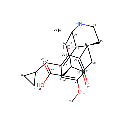 COc1cc(CC2CC2)c2c(c1)[C@]13CCN[C@H](C2)[C@]1(O)C[C@H](CC(=O)O)C(=O)C3